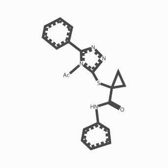 CC(=O)n1c(SC2(C(=O)Nc3ccccc3)CC2)nnc1-c1ccccc1